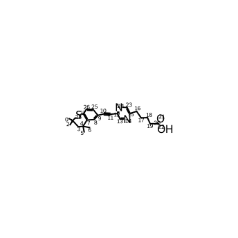 CC1(C)CC(C)(C)c2cc(C#Cc3cnc(CCCCC(=O)O)cn3)ccc2S1